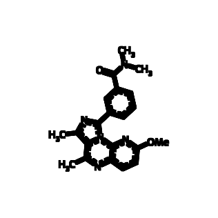 COc1ccc2nc(C)c3c(C)nc(-c4cccc(C(=O)N(C)C)c4)n3c2n1